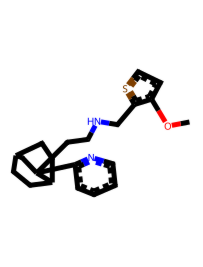 COc1ccsc1CNCCC1(c2ccccn2)CC2CCC1CC2